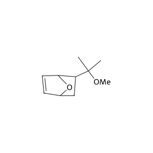 COC(C)(C)C1CC2C=CC1O2